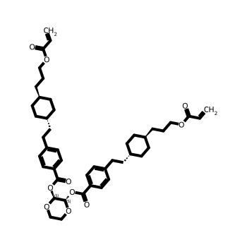 C=CC(=O)OCCC[C@H]1CC[C@H](CCc2ccc(C(=O)O[C@@H]3OCCO[C@H]3OC(=O)c3ccc(CC[C@H]4CC[C@H](CCCOC(=O)C=C)CC4)cc3)cc2)CC1